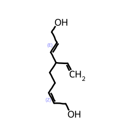 C=CC(/C=C/CO)CC/C=C\CO